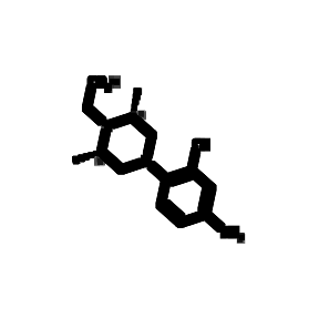 C[C@@H]1CN(c2ccc(N)cc2C#N)C[C@H](C)N1CC(=O)O